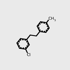 Cc1ccc(CCc2cccc(Cl)c2)cc1